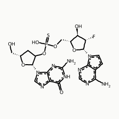 Nc1nc2c(ncn2[C@@H]2O[C@H](CO)CC2OP(O)(=S)OC[C@H]2O[C@@H](n3ccc4c(N)ncnc43)[C@@H](F)[C@@H]2O)c(=O)[nH]1